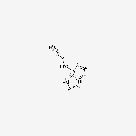 C=CCNc1cccc2cc[nH]c12